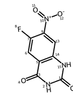 O=c1[nH]c(=O)c2cc(F)c([N+](=O)[O-])cc2[nH]1